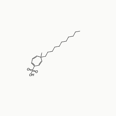 CCCCCCCCCCCC1(C)C=CC=C(S(=O)(=O)O)C=C1